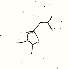 CC(C)CC1=NC(C)C(C)S1